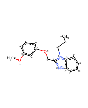 CCCn1c(COc2cccc(OC)c2)nc2ccccc21